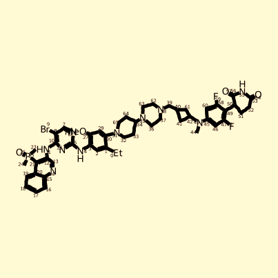 CCc1cc(Nc2ncc(Br)c(Nc3cnc4ccccc4c3P(C)(C)=O)n2)c(OC)cc1N1CCC(N2CCN(CC3CC(N(C)c4cc(F)c(C5CCC(=O)NC5=O)c(F)c4)C3)CC2)CC1